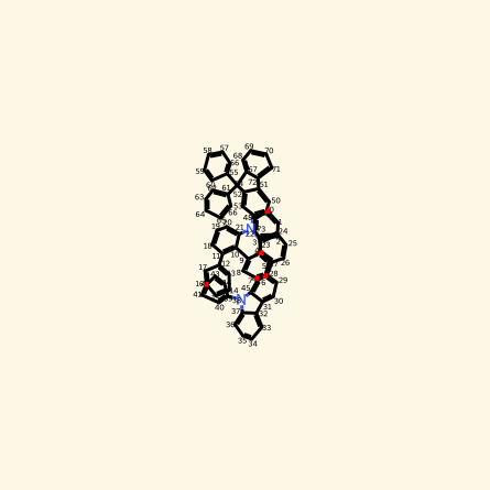 c1ccc(-c2ccccc2-c2c(-c3ccccc3)cccc2N(c2cccc(-c3ccc4c5ccccc5n(-c5ccccc5)c4c3)c2)c2ccc3c(c2)C(c2ccccc2)(c2ccccc2)c2ccccc2-3)cc1